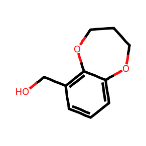 OCc1cccc2c1OCCCO2